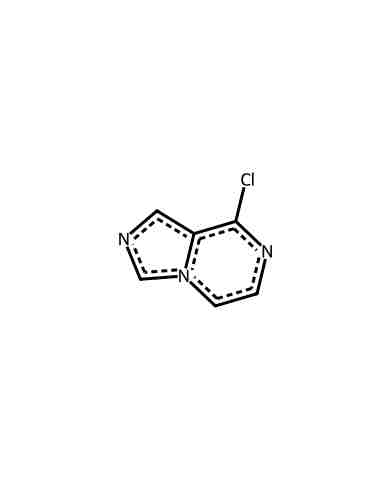 Clc1nccn2cncc12